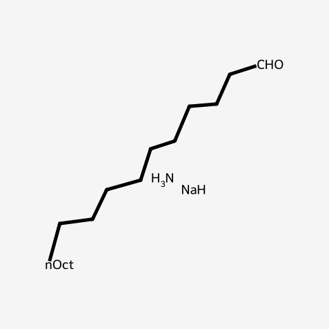 CCCCCCCCCCCCCCCCCC=O.N.[NaH]